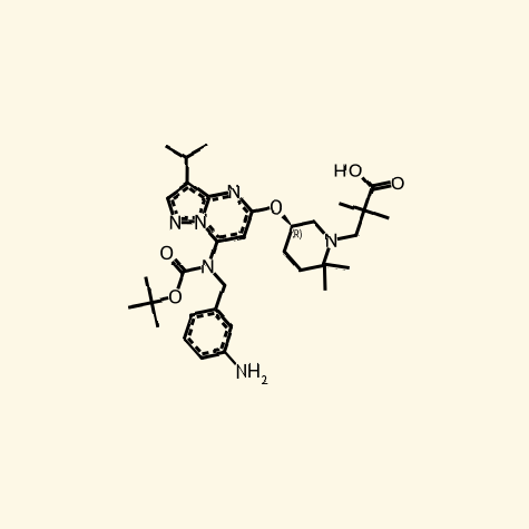 CC(C)c1cnn2c(N(Cc3cccc(N)c3)C(=O)OC(C)(C)C)cc(O[C@@H]3CCC(C)(C)N(CC(C)(C)C(=O)O)C3)nc12